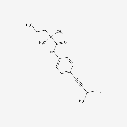 CCCC(C)(C)C(=O)Nc1ccc(C#CC(C)C)cc1